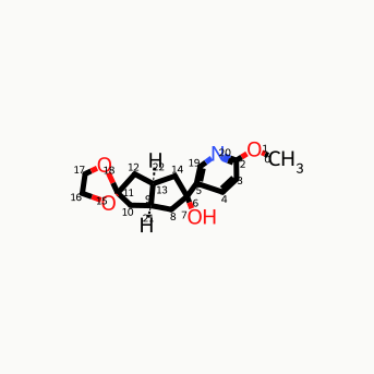 COc1ccc(C2(O)C[C@H]3CC4(C[C@H]3C2)OCCO4)cn1